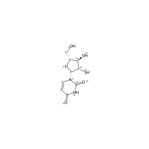 O=c1ccn([C@@H]2O[C@H](CO)[C@@H](O)C2S)c(=O)[nH]1